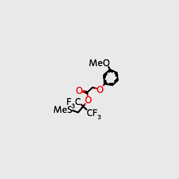 COc1cccc(OCC(=O)OC(CSC)(C(F)(F)F)C(F)(F)F)c1